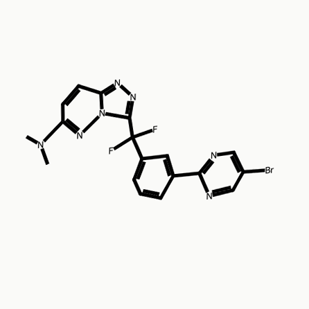 CN(C)c1ccc2nnc(C(F)(F)c3cccc(-c4ncc(Br)cn4)c3)n2n1